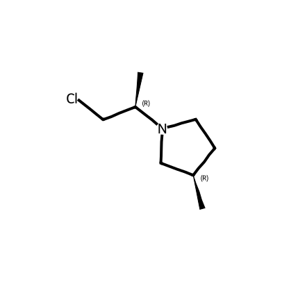 C[C@@H]1CCN([C@H](C)CCl)C1